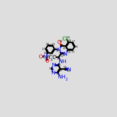 CC(Nc1ncnc(N)c1C#N)c1nc2cccc(Cl)c2c(=O)n1-c1cccc([N+](=O)[O-])c1